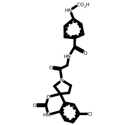 O=C(O)Nc1ccc(C(=O)NCC(=O)N2CCC3(C2)OC(=O)Nc2ccc(Cl)cc23)cc1